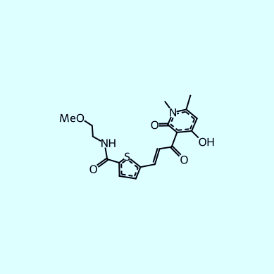 COCCNC(=O)c1ccc(C=CC(=O)c2c(O)cc(C)n(C)c2=O)s1